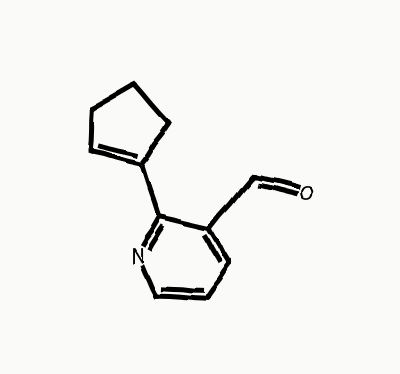 O=Cc1cccnc1C1=CCCC1